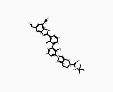 Cc1c(-c2nc3cc(C=O)cc(C#N)c3o2)cccc1-c1cccc(-n2cc3c(n2)CCN(C(=O)OC(C)(C)C)C3)c1Cl